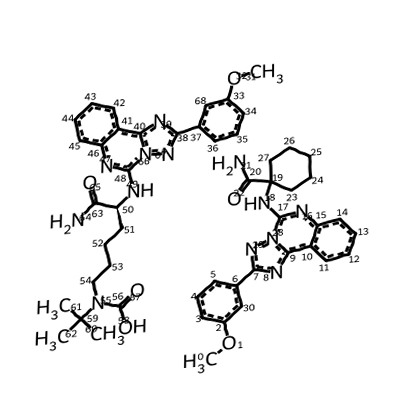 COc1cccc(-c2nc3c4ccccc4nc(NC4(C(N)=O)CCCCC4)n3n2)c1.COc1cccc(-c2nc3c4ccccc4nc(N[C@@H](CCCCN(C(=O)O)C(C)(C)C)C(N)=O)n3n2)c1